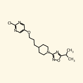 CC(C)c1nc(N2CCC(CCCOc3cnc(Cl)nc3)CC2)no1